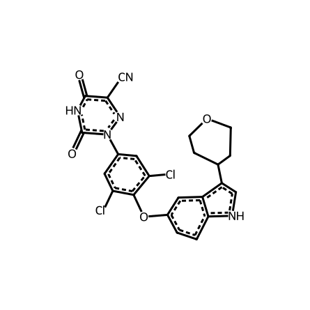 N#Cc1nn(-c2cc(Cl)c(Oc3ccc4[nH]cc(C5CCOCC5)c4c3)c(Cl)c2)c(=O)[nH]c1=O